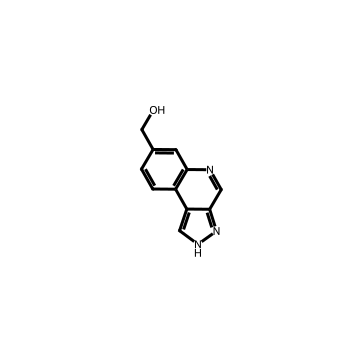 OCc1ccc2c(c1)ncc1n[nH]cc12